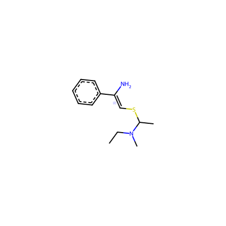 CCN(C)C(C)S/C=C(\N)c1ccccc1